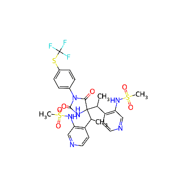 CC(c1ccncc1NS(C)(=O)=O)C1(C(C)c2ccncc2NS(C)(=O)=O)NC(=O)N(c2ccc(SC(F)(F)F)cc2)C1=O